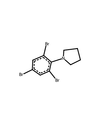 Brc1cc(Br)c(N2CCCC2)c(Br)c1